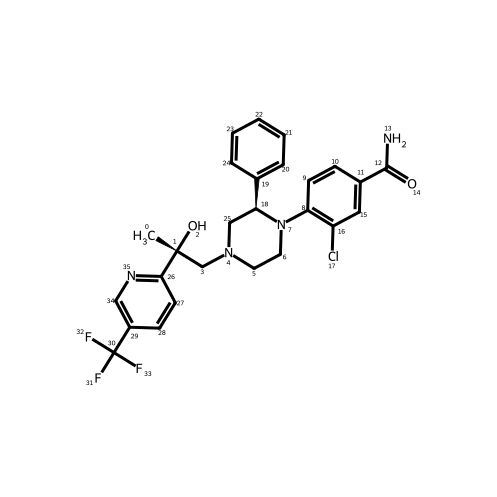 C[C@@](O)(CN1CCN(c2ccc(C(N)=O)cc2Cl)[C@H](c2ccccc2)C1)c1ccc(C(F)(F)F)cn1